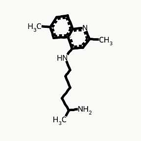 Cc1ccc2nc(C)cc(NCCCCC(C)N)c2c1